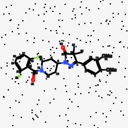 COc1ccc(C2=NN(C3CCN(C(=O)c4c(F)cccc4F)CC3)C(=O)C2(C)C)cc1OC